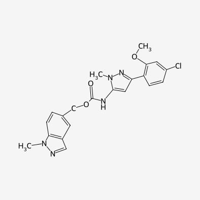 COc1cc(Cl)ccc1-c1cc(NC(=O)OCc2ccc3c(cnn3C)c2)n(C)n1